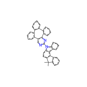 CC1(C)c2ccccc2-c2c1ccc1c2c2ccccc2n1-c1ncc2c(n1)-c1ccccc1-c1ccccc1-c1ccccc1-2